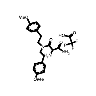 COc1ccc(CCN(CCc2ccc(OC)cc2)C(=O)C(N)C(N)=O)cc1.O=C(O)C(F)(F)F